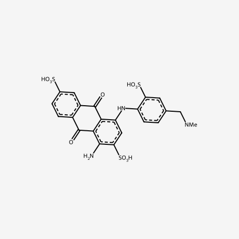 CNCc1ccc(Nc2cc(S(=O)(=O)O)c(N)c3c2C(=O)c2cc(S(=O)(=O)O)ccc2C3=O)c(S(=O)(=O)O)c1